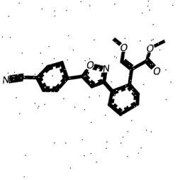 COC=C(C(=O)OC)c1ccccc1-c1cc(-c2ccc(C#N)cc2)on1